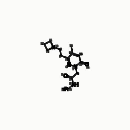 CCCNC(=O)Cn1nc(CCN2CCC2)c(C)cc1=O